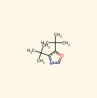 CC(C)(C)c1ncoc1C(C)(C)C